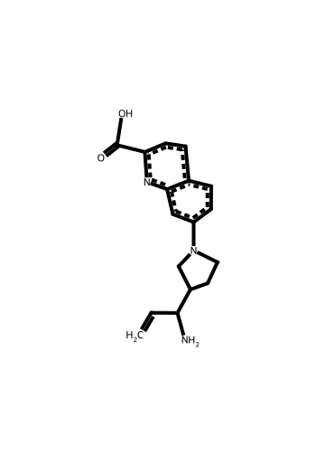 C=CC(N)C1CCN(c2ccc3ccc(C(=O)O)nc3c2)C1